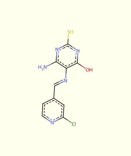 Nc1nc(S)nc(O)c1N=Cc1ccnc(Cl)c1